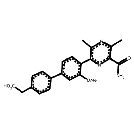 COc1cc(-c2ccc(CC(=O)O)cc2)ccc1-c1nc(C(N)=O)c(C)nc1C